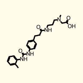 Cc1ccccc1NC(=O)Nc1ccc(CCC(=O)NCCCN(C)CC(=O)O)cc1